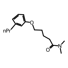 [CH2]CCc1cccc(OCCCCC(=O)N(C)C)c1